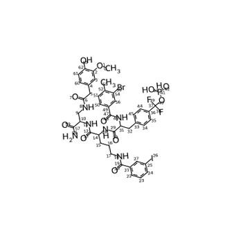 COc1cc(CC(=O)NCC(NC(=O)C(CCCNC(=O)c2cccc(I)c2)NC(=O)C(Cc2ccc(C(F)(F)O[PH](=O)O)cc2)NC(=O)c2ccc(C)c(Br)c2)C(N)=O)ccc1O